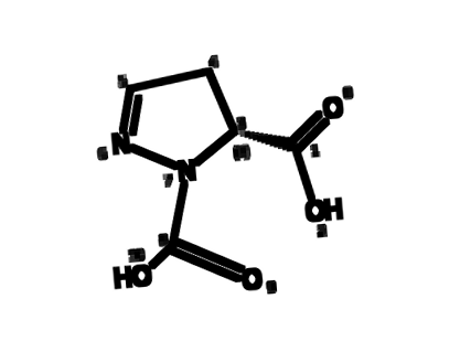 O=C(O)[C@H]1CC=NN1C(=O)O